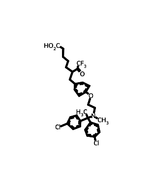 CN(CCOc1ccc(CC(CCCCC(=O)O)C(=O)C(F)(F)F)cc1)C(C)(c1ccc(Cl)cc1)c1ccc(Cl)cc1